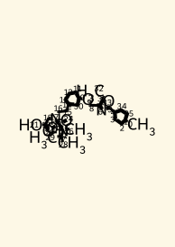 Cc1ccc(-c2nc(COc3cccc(CCN(CC(=O)O)S(=O)(=O)N(C)C(C)C)c3)c(C)o2)cc1